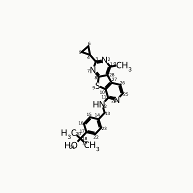 Cc1nc(C2CC2)nc2sc3c(NCc4ccc(C(C)(C)O)cc4)nccc3c12